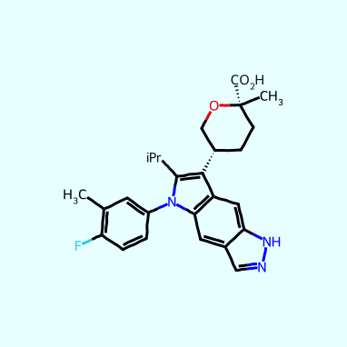 Cc1cc(-n2c(C(C)C)c([C@H]3CC[C@@](C)(C(=O)O)OC3)c3cc4[nH]ncc4cc32)ccc1F